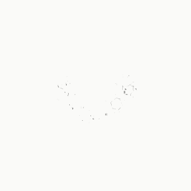 CC(C)(C)OC(=O)N1CCN(CC2CCN(CCOc3ccc(-c4cnc5n4CCC5)cc3)CC2)CC1